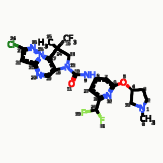 CN1CC[C@H](Oc2cc(NC(=O)N3CC(C)(C(F)(F)F)c4c3cnc3cc(Cl)nn43)cc(C(F)F)n2)C1